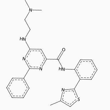 Cc1csc(-c2ccccc2NC(=O)c2cc(NCCN(C)C)nc(-c3ccccc3)n2)n1